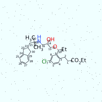 CCOC(=O)CCc1ccc(Cl)cc1C(CC)OCC(O)CNC(C)(C)CC1Cc2ccccc2C1